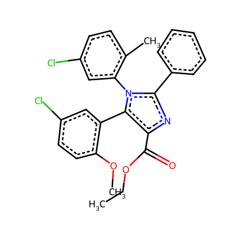 CCOC(=O)c1nc(-c2ccccc2)n(-c2cc(Cl)ccc2C)c1-c1cc(Cl)ccc1OC